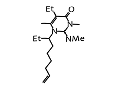 C=CCCCCC(CC)N1C(C)=C(CC)C(=O)N(C)C1NC